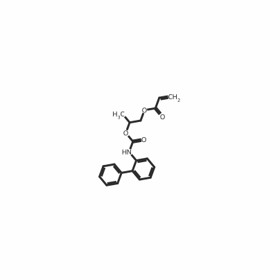 C=CC(=O)OCC(C)OC(=O)Nc1ccccc1-c1ccccc1